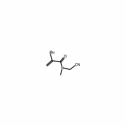 C=C(C(=O)N(C)CC#N)C(C)CC